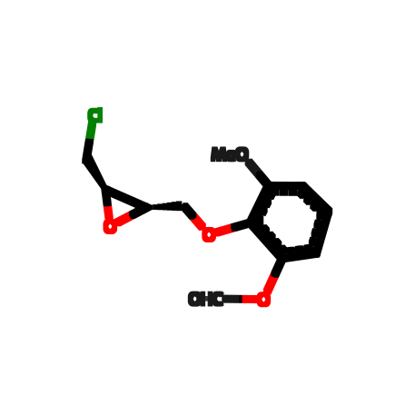 COc1cccc(OC=O)c1OC[C@@H]1O[C@H]1CCl